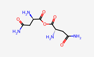 NC(=O)C[C@@H](N)C(=O)OC(=O)[C@@H](N)CC(N)=O